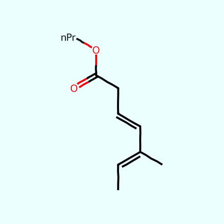 CC=C(C)C=CCC(=O)OCCC